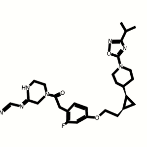 CC(C)c1noc(N2CCC([C@H]3C[C@H]3CCOc3ccc(CC(=O)N4CCN/C(=N\C=N)C4)c(F)c3)CC2)n1